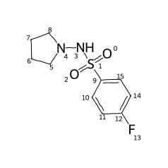 O=S(=O)(NN1CCCC1)c1ccc(F)cc1